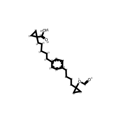 O=COC1(CCCCc2ccc(CCCCCC3(C(=O)O)CC3)cc2)CC1